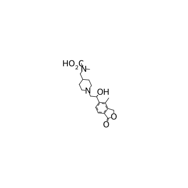 Cc1c([C@H](O)CN2CCC(CN(C)C(=O)O)CC2)ccc2c1COC2=O